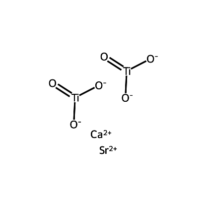 [Ca+2].[O]=[Ti]([O-])[O-].[O]=[Ti]([O-])[O-].[Sr+2]